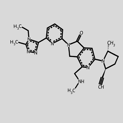 C#C[C@@H]1CC[C@@H](C)N1c1cc2c(c(CNC)n1)CN(c1cccc(-c3nnc(C)n3CC)n1)C2=O